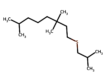 CC(C)CCCC(C)(C)CCSCC(C)C